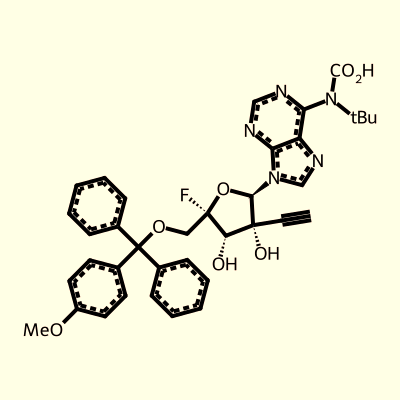 C#C[C@]1(O)[C@H](n2cnc3c(N(C(=O)O)C(C)(C)C)ncnc32)O[C@](F)(COC(c2ccccc2)(c2ccccc2)c2ccc(OC)cc2)[C@H]1O